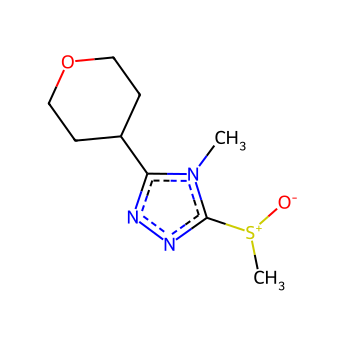 Cn1c(C2CCOCC2)nnc1[S+](C)[O-]